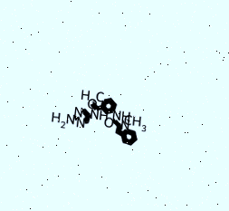 Cc1ccc(NC(=O)c2cc3ccccc3n2C)cc1C(=O)Nc1cnc(N)nc1